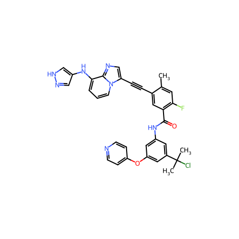 Cc1cc(F)c(C(=O)Nc2cc(Oc3ccncc3)cc(C(C)(C)Cl)c2)cc1C#Cc1cnc2c(Nc3cn[nH]c3)cccn12